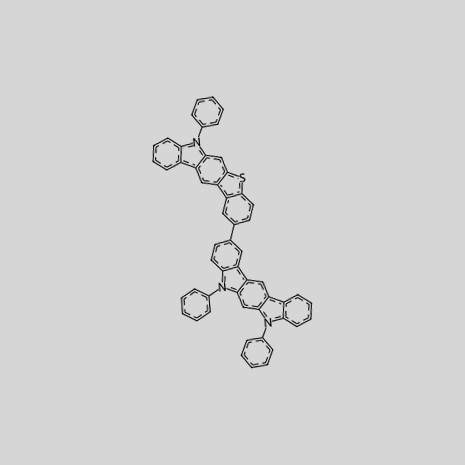 c1ccc(-n2c3ccccc3c3cc4c(cc32)sc2ccc(-c3ccc5c(c3)c3cc6c7ccccc7n(-c7ccccc7)c6cc3n5-c3ccccc3)cc24)cc1